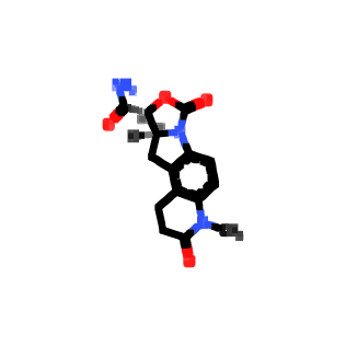 CN1C(=O)CCc2c1ccc1c2C[C@H]2[C@H](C(N)=O)OC(=O)N12